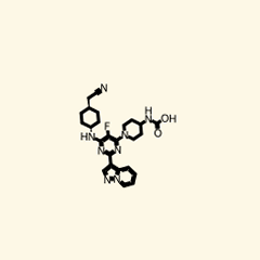 N#CC[C@H]1CC[C@H](Nc2nc(-c3cnn4ccccc34)nc(N3CCC(NC(=O)O)CC3)c2F)CC1